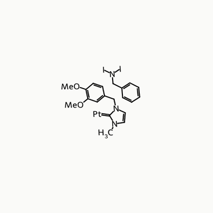 COc1ccc(Cn2ccn(C)[c]2=[Pt])cc1OC.IN(I)Cc1ccccc1